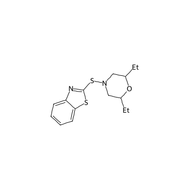 CCC1CN(Sc2nc3ccccc3s2)CC(CC)O1